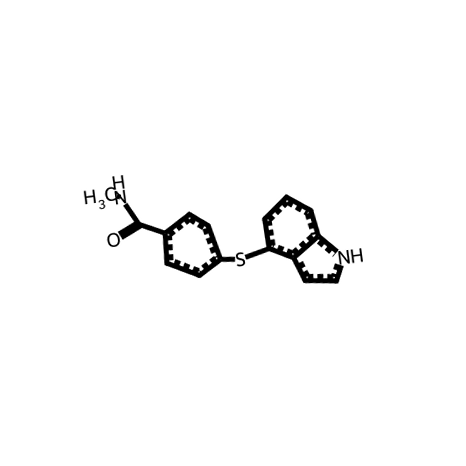 CNC(=O)c1ccc(Sc2cccc3[nH]ccc23)cc1